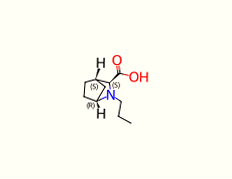 CCCN1[C@@H]2CC[C@@H](C2)[C@H]1C(=O)O